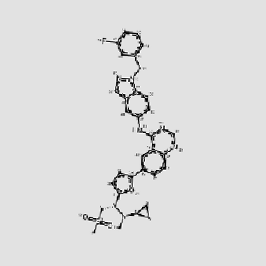 CN(C1CC1)[C@H](CS(C)(=O)=O)c1ccc(-c2ccc3ncnc(Nc4ccc5c(cnn5Cc5cccc(F)c5)c4)c3c2)o1